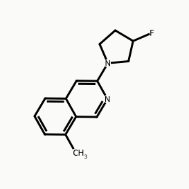 Cc1cccc2cc(N3CCC(F)C3)ncc12